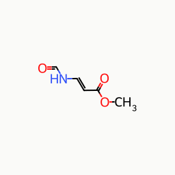 COC(=O)C=CNC=O